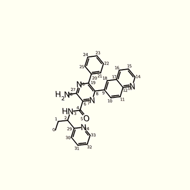 CCC(NC(=O)c1nc(-c2ccc3ncccc3c2)c(-c2ccccc2)nc1N)c1ccccn1